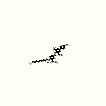 CCCCCCCCCCOc1ccc(/N=N/c2c(CC)cc(-c3ccc(OC)nc3)cc2CC)cc1C(C)C